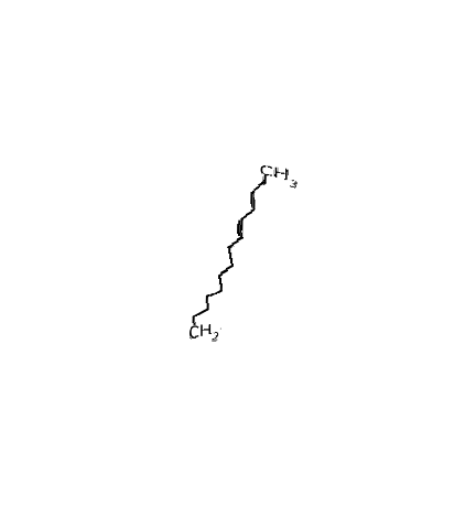 [CH2]CCCCCCCC=CC=CCC